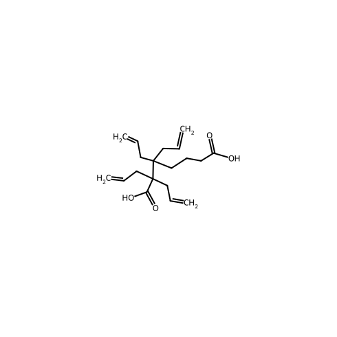 C=CCC(CC=C)(CCCC(=O)O)C(CC=C)(CC=C)C(=O)O